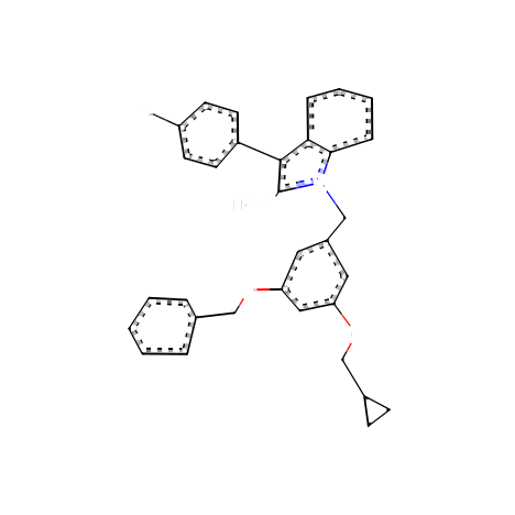 CC(C)(C)c1ccc(-c2c(C(=O)O)n(Cc3cc(OCc4ccccc4)cc(OCC4CC4)c3)c3ccccc23)cc1